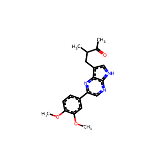 COc1ccc(-c2cnc3[nH]cc(CC(C)C(C)=O)c3n2)cc1OC